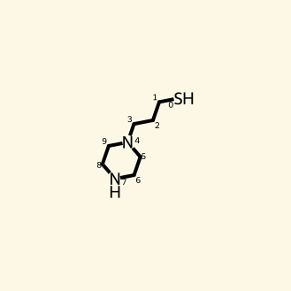 SCCCN1CCNCC1